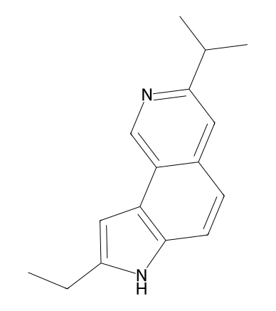 CCc1cc2c(ccc3cc(C(C)C)ncc32)[nH]1